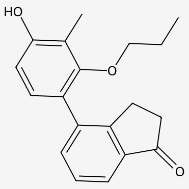 CCCOc1c(-c2cccc3c2CCC3=O)ccc(O)c1C